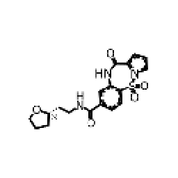 O=C(NCC[C@@H]1CCCO1)c1ccc2c(c1)NC(=O)c1cccn1S2(=O)=O